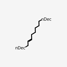 CCCCCCCCCCC/C=C/CCCCCCCCCCCCCCC